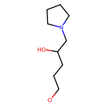 [O]CCCC(O)CN1CCCC1